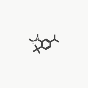 CSN(C)c1cc(C(C)C)ccc1C(C)(C)C